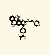 C=C(F)C(=O)N1CCN(c2nc(OCCN3CCOCC3)nc3c(F)c(-c4c(O)cccc4F)c(Cl)cc23)CC1